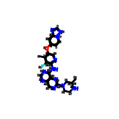 Cc1c(Oc2ccn3ncnc3c2)cnc(Nc2ncnc3cnc(N4CCN[C@H](C)C4)nc23)c1F